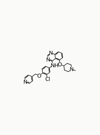 CN1CCC(Oc2cccc3ncnc(Nc4ccc(OCc5ccncc5)c(Cl)c4)c23)CC1